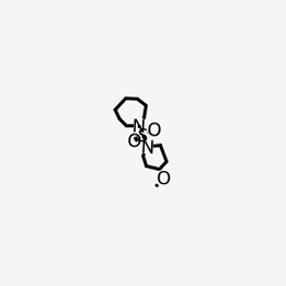 COC1CCN(S(=O)(=O)N2CCCCCCC2)CC1